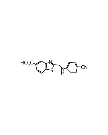 N#Cc1ccc(NCc2nc3cc(C(=O)O)ccc3s2)cc1